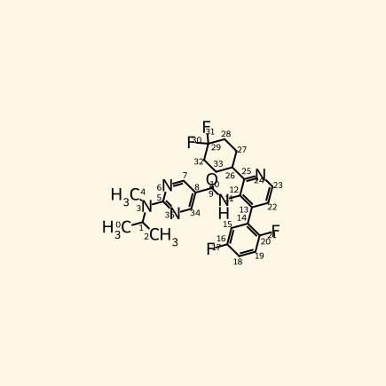 CC(C)N(C)c1ncc(C(=O)Nc2c(-c3cc(F)ccc3F)ccnc2C2CCC(F)(F)CC2)cn1